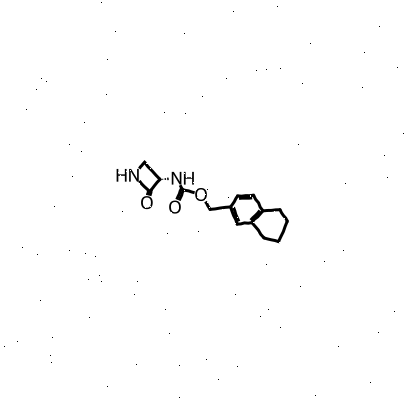 O=C(N[C@H]1CNC1=O)OCc1ccc2c(c1)CCCC2